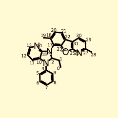 CCC1N(c2ccccc2)c2cccnc2N1c1c(C)ccc2c1oc1nc(C)ccc12